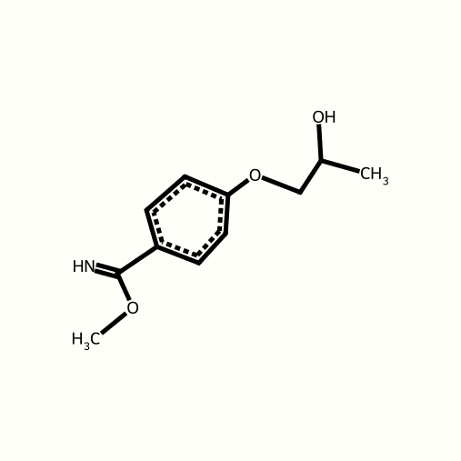 COC(=N)c1ccc(OCC(C)O)cc1